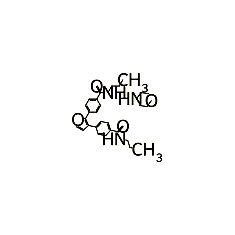 C1COCCN1.CCCNC(=O)c1ccc(-c2ccoc2-c2ccc(C(=O)NCCC)cc2)cc1